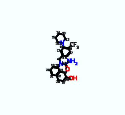 NC(=O)N(Cc1ccc(C(F)(F)F)c(N2CCCCC2)c1)c1cccc2c1CC(O)CC2